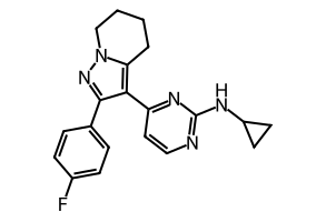 Fc1ccc(-c2nn3c(c2-c2ccnc(NC4CC4)n2)CCCC3)cc1